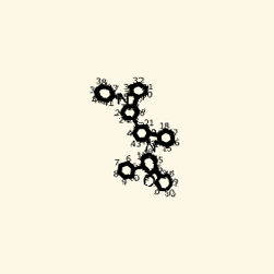 C1=c2oc3c(-c4ccccc4)cc(-n4c5ccccc5c5cc(-c6ccc7c(c6)c6ccccc6n7-c6ccccc6)ccc54)cc3c2=CCC1